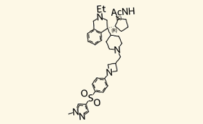 CCN1Cc2ccccc2C(C2CCN(CC3CN(c4ccc(S(=O)(=O)c5cnn(C)c5)cc4)C3)CC2)([C@H]2CCC[C@@H]2NC(C)=O)C1